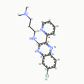 CN(C)CCCNc1nc2cc(Cl)ccc2nc1-c1ccccn1